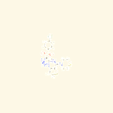 O=S(=O)(c1ccc(Cl)cc1)c1nnn2c1nc(N1CCSCC1)c1sccc12